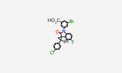 CC(C)C1(c2ccc(Cl)cc2)CC12C(=O)N(c1cc(Br)cc(C(=O)O)c1)c1ccc(F)cc12